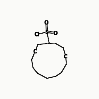 O=S(=O)(Cl)C1CCCCCCCCCCCC1